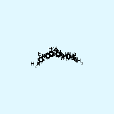 CCN(C1CCC(N)CC1)C1CCc2cc(-n3ccc(NC(=O)N4CCN(C(=O)C(C)(C)N)CC4)nc3=O)ccc2C1.Cl